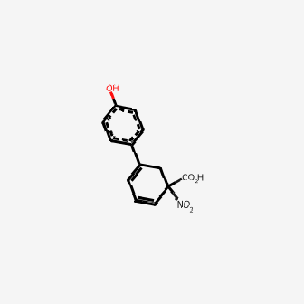 O=C(O)C1([N+](=O)[O-])C=CC=C(c2ccc(O)cc2)C1